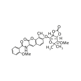 COc1ccccc1C(=O)Nc1cc2ccc(O[C@@H]3OC(C)(C)[C@H](OC)[C@@H]4OC(=O)O[C@H]34)c(C)c2oc1=O